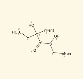 CCCCCCCCCCC(O)C(=O)C(O)(CCCCC)CC(=O)O